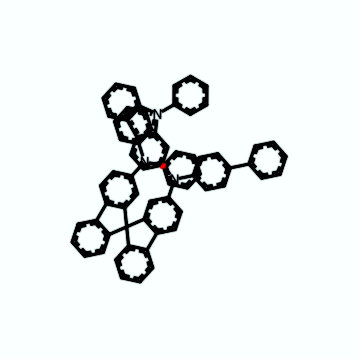 c1ccc(-c2ccc(N(c3ccc4c(c3)C3(c5ccccc5-c5ccc(N(c6ccccc6)c6ccccc6)cc53)c3ccccc3-4)c3ccc4c5ccccc5n(-c5ccccc5)c4c3)cc2)cc1